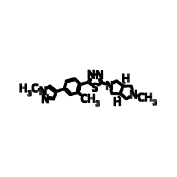 Cc1cc(-c2cnn(C)c2)ccc1-c1nnc(N2C[C@H]3CN(C)C[C@H]3C2)s1